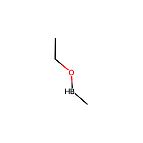 CBOCC